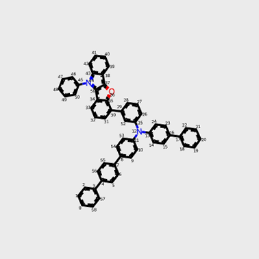 c1ccc(-c2ccc(-c3ccc(N(c4ccc(-c5ccccc5)cc4)c4cccc(-c5cccc6c5oc5c7ccccc7n(-c7ccccc7)c65)c4)cc3)cc2)cc1